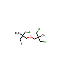 CC(CBr)(CBr)COCC(C)(CBr)CBr